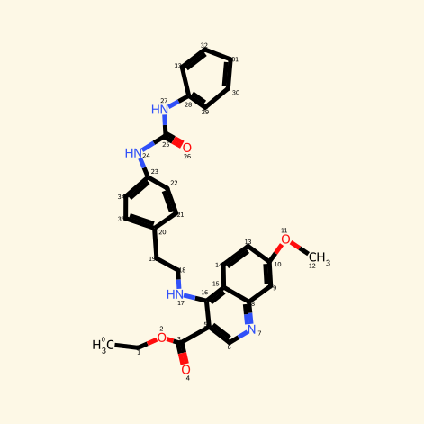 CCOC(=O)c1cnc2cc(OC)ccc2c1NCCc1ccc(NC(=O)Nc2ccccc2)cc1